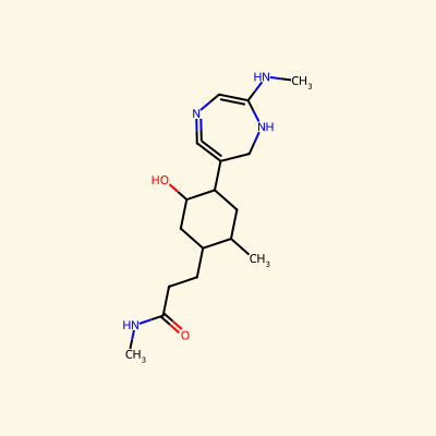 CNC(=O)CCC1CC(O)C(C2=C=NC=C(NC)NC2)CC1C